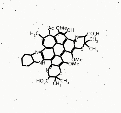 COc1c(O)c2c3c(c(OC)c4c5c(OC)c6c(c7c8c(c9c(c(c1C(C(C)=O)C(C)=C9)c24)c75)NC1CCCCC1N8)=NC(C(=O)O)C(C)(C)S6)SC(C)(C)C(C(=O)O)N=3